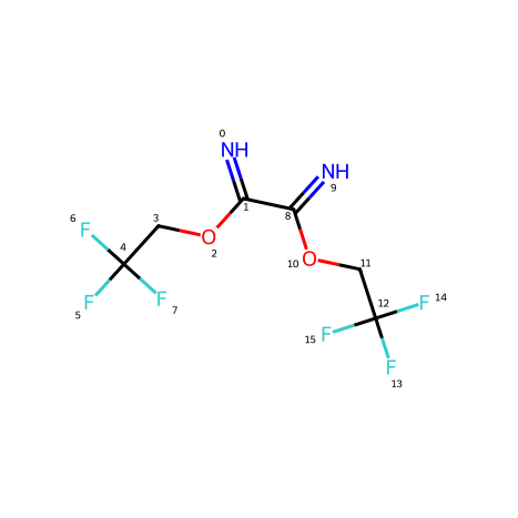 N=C(OCC(F)(F)F)C(=N)OCC(F)(F)F